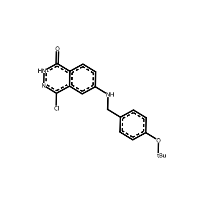 CC(C)(C)Oc1ccc(CNc2ccc3c(=O)[nH]nc(Cl)c3c2)cc1